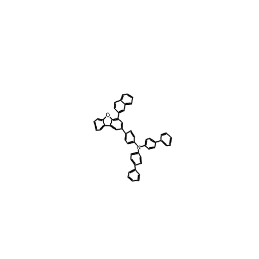 c1ccc(-c2ccc(N(c3ccc(-c4ccccc4)cc3)c3ccc(-c4cc(-c5ccc6ccccc6c5)c5oc6ccccc6c5c4)cc3)cc2)cc1